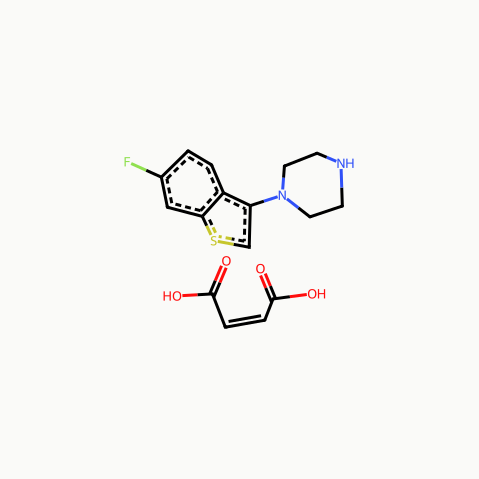 Fc1ccc2c(N3CCNCC3)csc2c1.O=C(O)/C=C\C(=O)O